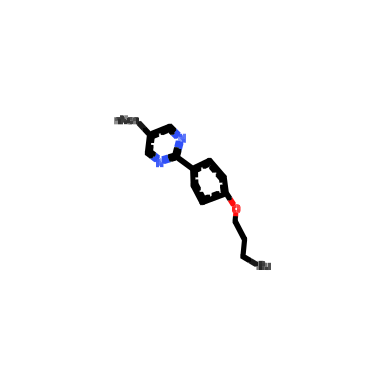 CCCCCCCCCc1cnc(-c2ccc(OCCCC(C)CC)cc2)nc1